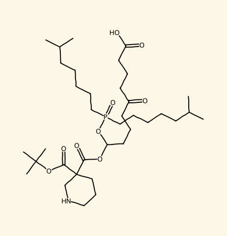 CC(C)CCCCCP(=O)(CCCCCC(C)C)OC(CCCC(=O)CCCC(=O)O)OC(=O)C1(C(=O)OC(C)(C)C)CCCNC1